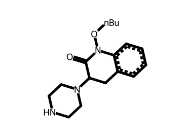 CCCCON1C(=O)C(N2CCNCC2)Cc2ccccc21